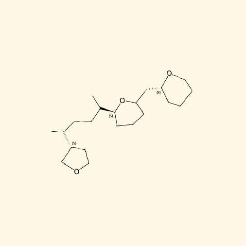 CC(CCC(C)[C@@H]1CCCC(C[C@H]2CCCCO2)O1)[C@@H]1CCOC1